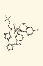 COc1cccc(OC)c1-n1c(-c2ccco2)nnc1N(CC[Si](C)(C)C)S(=O)(=O)C(C)Cc1ncc(Cl)cc1C#N